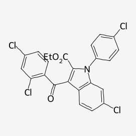 CCOC(=O)c1c(C(=O)c2ccc(Cl)cc2Cl)c2ccc(Cl)cc2n1-c1ccc(Cl)cc1